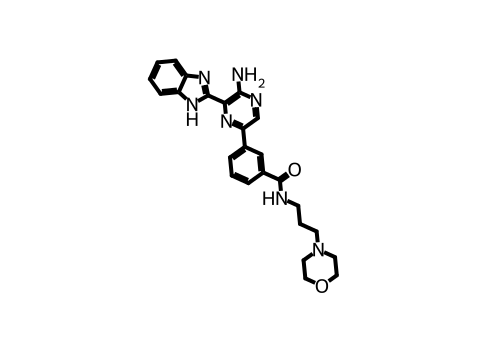 Nc1ncc(-c2cccc(C(=O)NCCCN3CCOCC3)c2)nc1-c1nc2ccccc2[nH]1